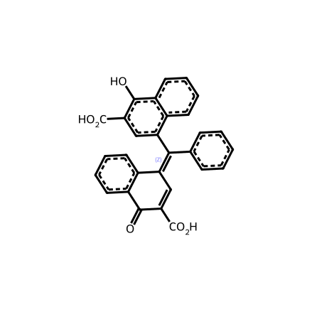 O=C(O)C1=C/C(=C(\c2ccccc2)c2cc(C(=O)O)c(O)c3ccccc23)c2ccccc2C1=O